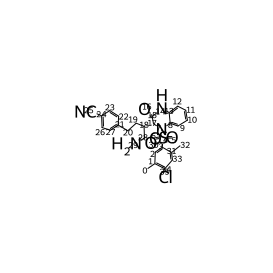 Cc1cc(S(=O)(=O)N2c3ccccc3NC(=O)[C@H]2C(CCc2ccc(C#N)cc2)C(N)=O)c(C)cc1Cl